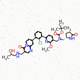 COc1nc(-c2cccc(-c3ccn4c(=O)c(CNC[C@@H](C)O)cnc4c3)c2Cl)ccc1CN(C[C@@H]1CCC(=O)N1)C(=O)OC(C)(C)C